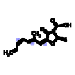 C=C\C=C/C=C(C)/C=C1/OC(=S)N(C(=O)O)C1=O